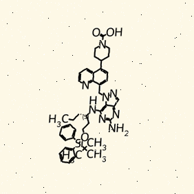 CCC[C@@H](CCO[Si](c1ccccc1)(c1ccccc1)C(C)(C)C)Nc1nc(N)nc2cnn(Cc3ccc(C4CCN(C(=O)O)CC4)c4cccnc34)c12